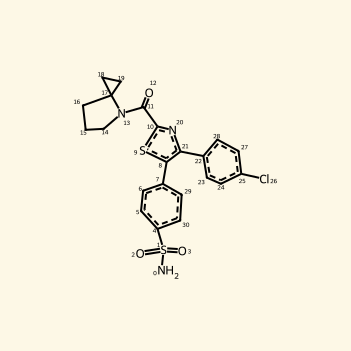 NS(=O)(=O)c1ccc(-c2sc(C(=O)N3CCCC34CC4)nc2-c2ccc(Cl)cc2)cc1